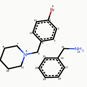 Brc1ccc(CN2CCCCC2)cc1.NCc1ccccc1